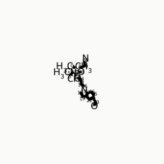 CC(C)N(C(C)C)P(OCCC#N)OCCCn1ccc2cc(C=O)ccc21